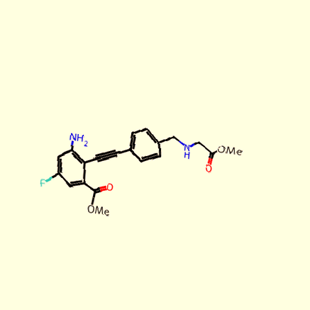 COC(=O)CNCc1ccc(C#Cc2c(N)cc(F)cc2C(=O)OC)cc1